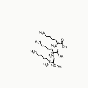 NCCCC[C@H](N)C(=O)O.NCCCC[C@H](N)C(=O)O.NCCCC[C@H](N)C(=O)O.[Sn]